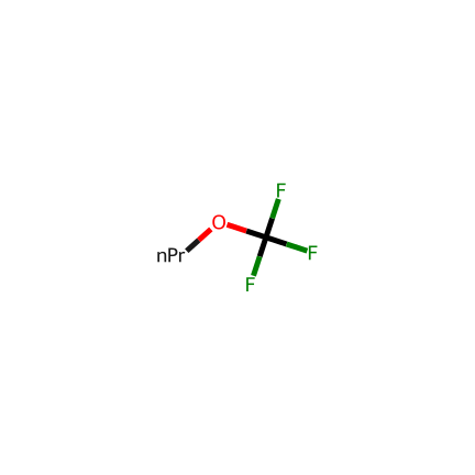 CCCOC(F)(F)F